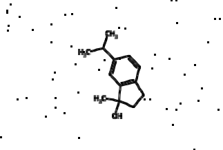 CC(C)c1ccc2c(c1)C(C)(O)CC2